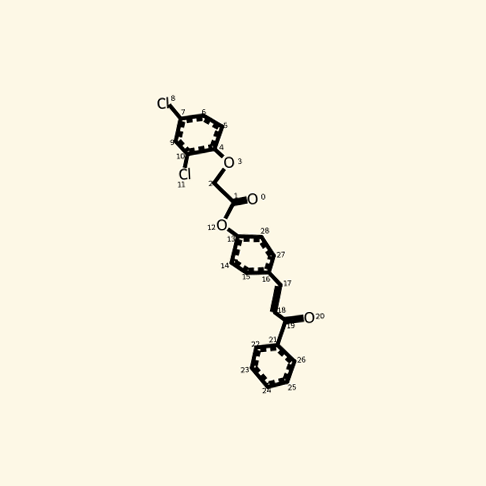 O=C(COc1ccc(Cl)cc1Cl)Oc1ccc(C=CC(=O)c2ccccc2)cc1